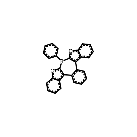 c1ccc(B2c3oc4ccccc4c3-c3ccccc3-c3c2oc2ccccc32)cc1